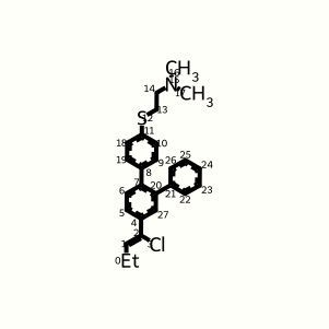 CCC=C(Cl)c1ccc(-c2ccc(SCCN(C)C)cc2)c(-c2ccccc2)c1